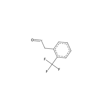 O=[C]Cc1ccccc1C(F)(F)F